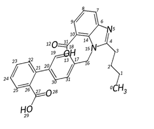 CCCCc1nc2cccc(C(=O)O)c2n1Cc1ccc(-c2ccccc2C(=O)O)cc1